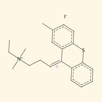 CC[N+](C)(C)CC/C=C1/c2ccccc2Sc2ccc(C)cc21.[I-]